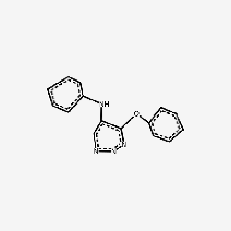 c1ccc(Nc2cnnnc2Oc2ccccc2)cc1